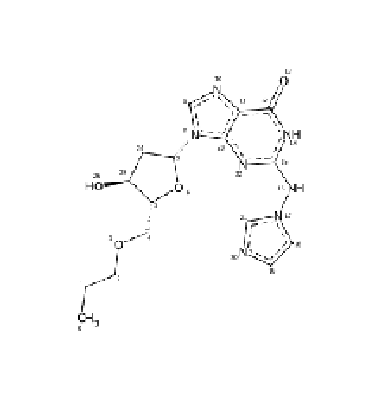 CCCOC[C@H]1O[C@@H](n2cnc3c(=O)[nH]c(Nn4ccnc4)nc32)C[C@@H]1O